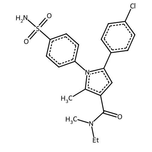 CCN(C)C(=O)c1cc(-c2ccc(Cl)cc2)n(-c2ccc(S(N)(=O)=O)cc2)c1C